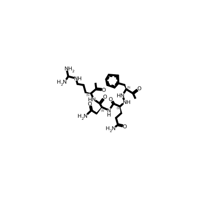 CC(=O)[C@H](Cc1ccccc1)NN[C@@H](CCC(N)=O)C(=O)N[C@@H](CC(N)=O)C(=O)N[C@@H](CCCNC(N)N)C(C)=O